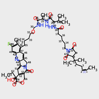 C/C=C\CCC(C)(C)C1CC(=O)N(CCCCCC(=O)N[C@H](C(=O)N[C@@H](C)C(=O)NCOCCCCc2c(C)c(F)cc3nc4c(cc23)Cn2c-4cc3c(c2=O)COC(=O)[C@]3(O)CC)C(C)C)C1=O